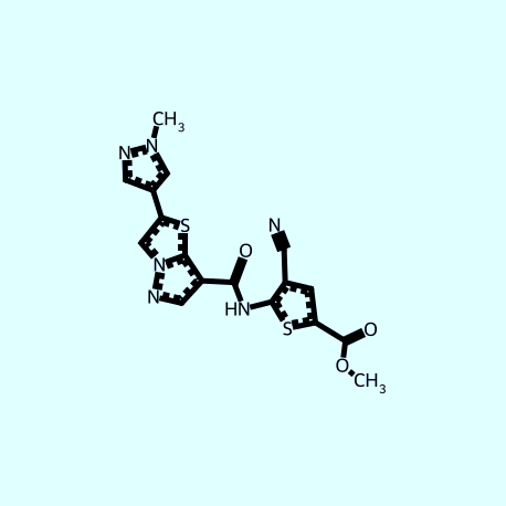 COC(=O)c1cc(C#N)c(NC(=O)c2cnn3cc(-c4cnn(C)c4)sc23)s1